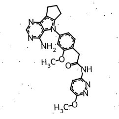 COc1ccc(NC(=O)Cc2ccc(-n3c4c(c5ncnc(N)c53)CCC4)cc2OC)nn1